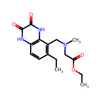 CCOC(=O)CN(C)Cc1c(CC)ccc2[nH]c(=O)c(=O)[nH]c12